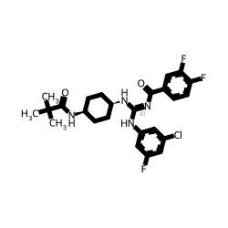 CC(C)(C)C(=O)N[C@H]1CC[C@H](N/C(=N\C(=O)c2ccc(F)c(F)c2)Nc2cc(F)cc(Cl)c2)CC1